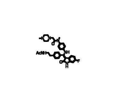 CC(=O)NCCc1ccc(C(Nc2ccc(N(C)C(=O)CN3CCN(C)CC3)cc2)=C2C(=O)Nc3cc(F)ccc32)cc1